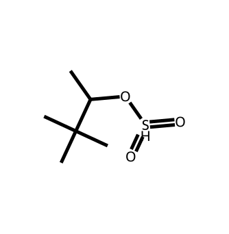 CC(O[SH](=O)=O)C(C)(C)C